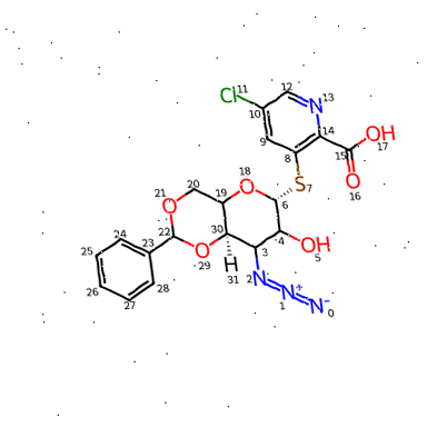 [N-]=[N+]=NC1C(O)[C@@H](Sc2cc(Cl)cnc2C(=O)O)OC2COC(c3ccccc3)O[C@@H]21